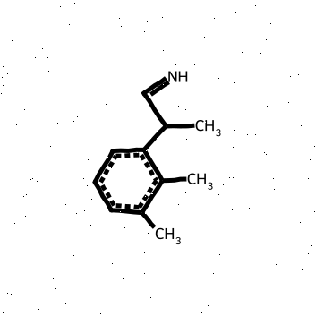 Cc1cccc(C(C)C=N)c1C